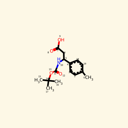 Cc1ccc(C(CC(=O)O)NC(=O)OC(C)(C)C)cc1